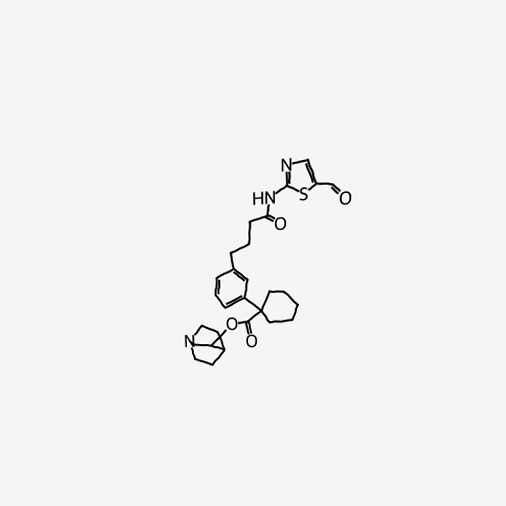 O=Cc1cnc(NC(=O)CCCc2cccc(C3(C(=O)OC4CN5CCC4CC5)CCCCC3)c2)s1